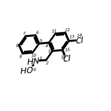 ONCc1c(-c2ccccc2)ccc(Cl)c1Cl